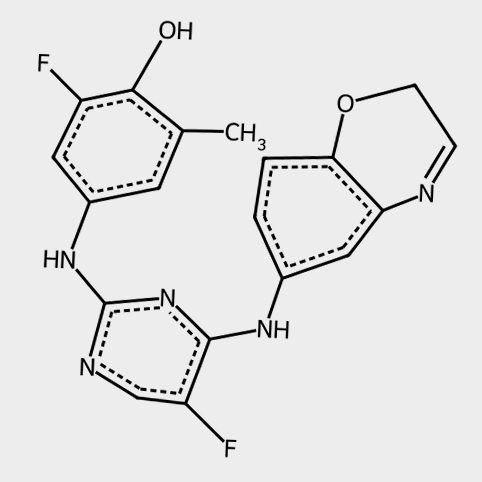 Cc1cc(Nc2ncc(F)c(Nc3ccc4c(c3)N=CCO4)n2)cc(F)c1O